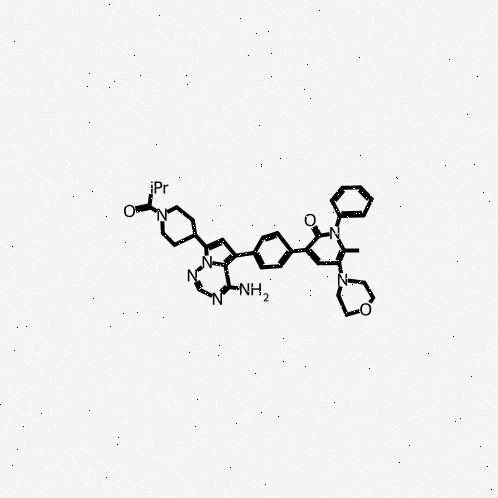 Cc1c(N2CCOCC2)cc(-c2ccc(-c3cc(C4CCN(C(=O)C(C)C)CC4)n4ncnc(N)c34)cc2)c(=O)n1-c1ccccc1